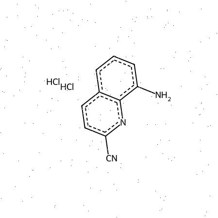 Cl.Cl.N#Cc1ccc2cccc(N)c2n1